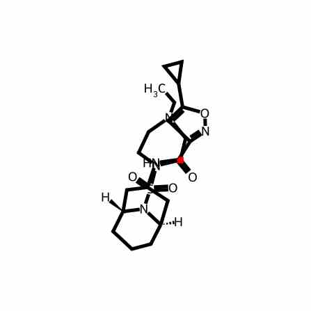 CCN1CCN(S(=O)(=O)N2[C@@H]3CCC[C@@H]2CC(NC(=O)c2cc(C4CC4)on2)C3)CC1